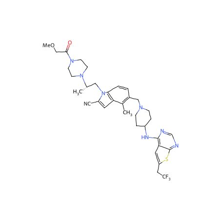 COCC(=O)N1CCN([C@@H](C)Cn2c(C#N)cc3c(C)c(CN4CCC(Nc5ncnc6sc(CC(F)(F)F)cc56)CC4)ccc32)CC1